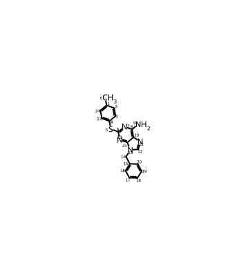 Cc1ccc(Sc2nc(N)c3ncn(Cc4ccccc4)c3n2)cc1